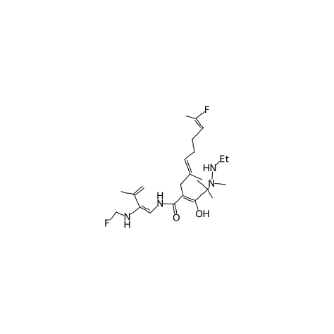 C=C(C)/C(=C\NC(=O)/C(C/C(C)=C/CC/C=C(\C)F)=C(\O)C(C)(C)N(C)NCC)NCF